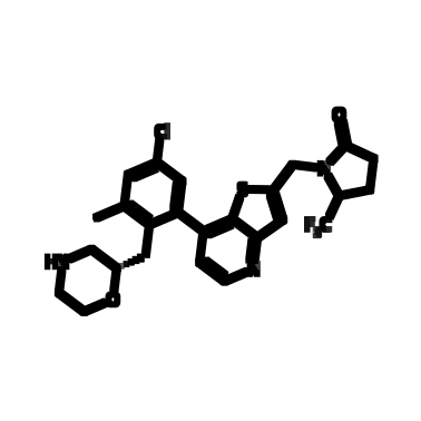 Cc1cc(Cl)cc(-c2ccnc3cc(CN4C(=O)CCC4C(F)(F)F)sc23)c1C[C@H]1CNCCO1